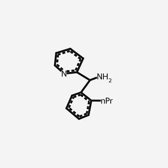 CCCc1ccccc1C(N)c1ccccn1